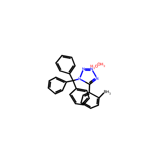 Bc1ccccc1-c1nnnn1C(c1ccccc1)(c1ccccc1)c1ccccc1.O.O